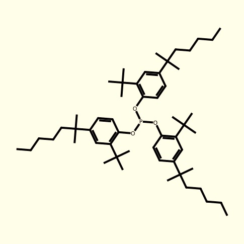 CCCCCC(C)(C)c1ccc(OP(Oc2ccc(C(C)(C)CCCCC)cc2C(C)(C)C)Oc2ccc(C(C)(C)CCCCC)cc2C(C)(C)C)c(C(C)(C)C)c1